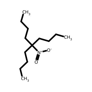 CCCCC(CCCC)(CCCC)[N+](=O)[O-]